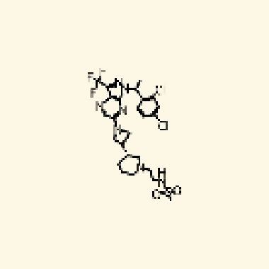 CC(c1ccc(Cl)cc1Cl)n1nc(C(F)(F)F)c2ncc(N3CC([C@@H]4CCCN(CCNS(C)(=O)=O)C4)C3)nc21